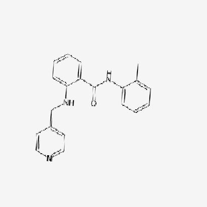 Cc1ccccc1NC(=O)c1ccccc1NCc1ccncc1